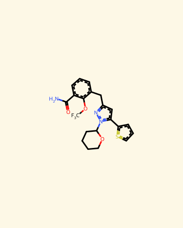 NC(=O)c1cccc(Cc2cc(-c3cccs3)n(C3CCCCO3)n2)c1OC(F)(F)F